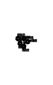 CCCCCCCCc1ccc(Sc2ccc(CCCCCCCC)cc2)cc1.CCCCCCCCc1ccc(Sc2ccc(CCCCCCCC)cc2)cc1.O=C(O)c1ccccc1C(=O)O